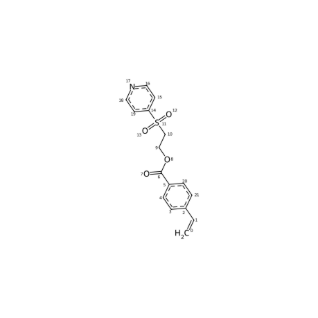 C=Cc1ccc(C(=O)OCCS(=O)(=O)c2ccncc2)cc1